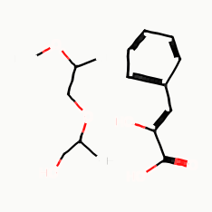 COC(C)COC(C)CO.O=C(O)C(O)=Cc1ccccc1